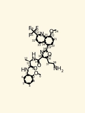 COc1ccccc1NC(=O)[C@@H](C)NC(=O)c1nc(-c2ccc(OC)c3nc(C(F)(F)F)ccc23)oc1CCN